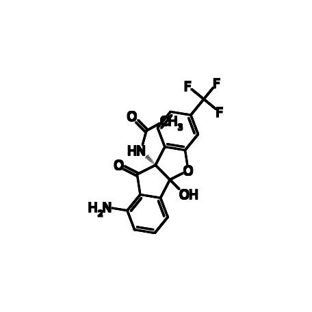 CC(=O)N[C@@]12C(=O)c3c(N)cccc3C1(O)Oc1cc(C(F)(F)F)ccc12